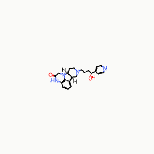 O=C1CN2c3c(cccc3[C@@H]3CN(CCCC(O)c4ccncc4)CC[C@@H]32)N1